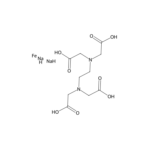 O=C(O)CN(CCN(CC(=O)O)CC(=O)O)CC(=O)O.[Fe].[NaH].[NaH]